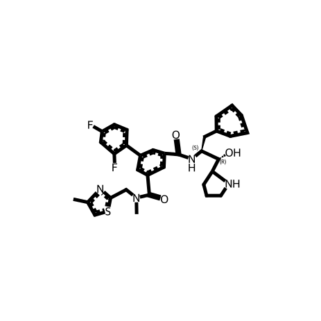 Cc1csc(CN(C)C(=O)c2cc(C(=O)N[C@@H](Cc3ccccc3)[C@H](O)C3CCCN3)cc(-c3ccc(F)cc3F)c2)n1